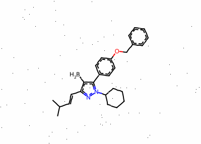 Bc1c(/C=C/C(C)C)nn(C2CCCCC2)c1-c1ccc(OCc2ccccc2)cc1